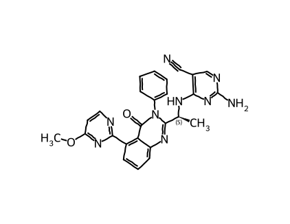 COc1ccnc(-c2cccc3nc([C@H](C)Nc4nc(N)ncc4C#N)n(-c4ccccc4)c(=O)c23)n1